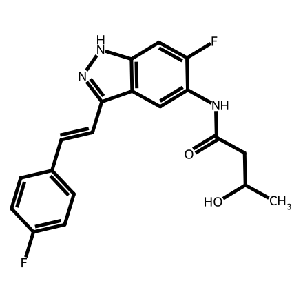 CC(O)CC(=O)Nc1cc2c(/C=C/c3ccc(F)cc3)n[nH]c2cc1F